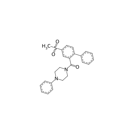 CS(=O)(=O)c1ccc(-c2ccccc2)c(C(=O)N2CCN(c3ccccc3)CC2)c1